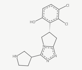 Oc1ccc(Cl)c(Cl)c1[C@@H]1Cc2nnc(C3CCNC3)n2C1